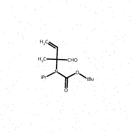 C=CC(C)(C=O)N(C(=O)OC(C)(C)C)C(C)C